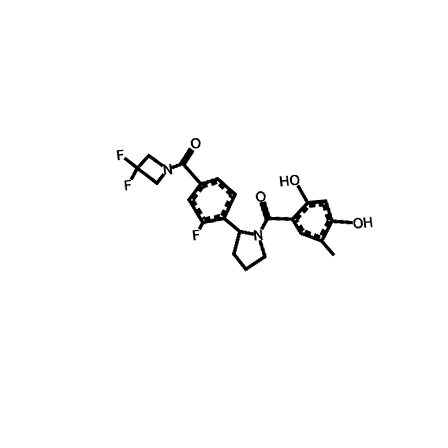 Cc1cc(C(=O)N2CCCC2c2ccc(C(=O)N3CC(F)(F)C3)cc2F)c(O)cc1O